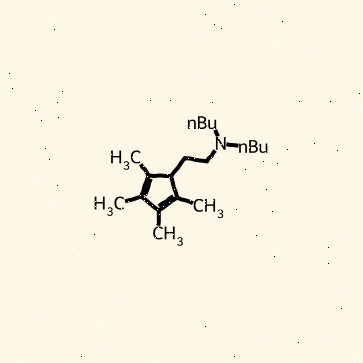 CCCCN(CCCC)CCC1C(C)=C(C)C(C)=C1C